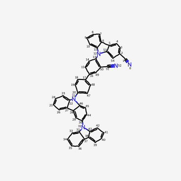 N#Cc1ccc2c3ccccc3n(-c3ccc(-c4ccc(-n5c6ccccc6c6cc(-n7c8ccccc8c8ccccc87)ccc65)cc4)cc3C#N)c2c1